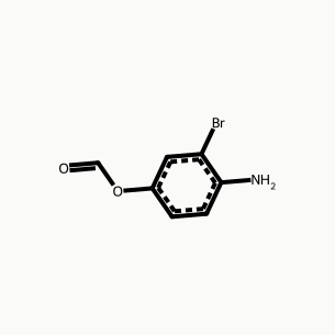 Nc1ccc(OC=O)cc1Br